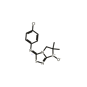 CC1(C)Cn2c(ns/c2=N/c2ccc(Cl)cc2)[S+]1[O-]